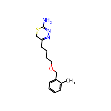 Cc1ccccc1COCCCCC1=NN=C(N)SC1